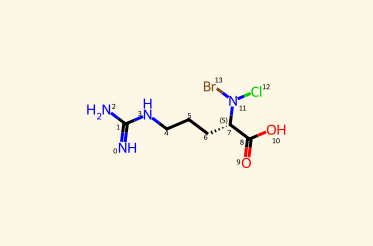 N=C(N)NCCC[C@@H](C(=O)O)N(Cl)Br